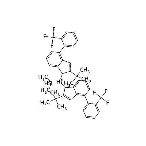 C[SiH](C)[Hf]([CH]1C(C(C)(C)C)=Cc2c(-c3ccccc3C(F)(F)F)cccc21)[CH]1C(C(C)(C)C)=Cc2c(-c3ccccc3C(F)(F)F)cccc21